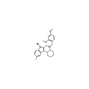 COc1ccc(CN2Cc3c(c4cc(C)ccc4n3Br)C3CCCCC32)c(OC)c1